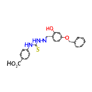 O=C(O)c1ccc(NC(=S)N/N=C/c2ccc(OCc3ccccc3)cc2O)cc1